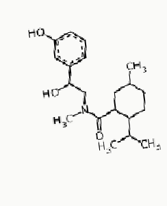 CC1CCC(C(C)C)C(C(=O)N(C)CC(O)c2cccc(O)c2)C1